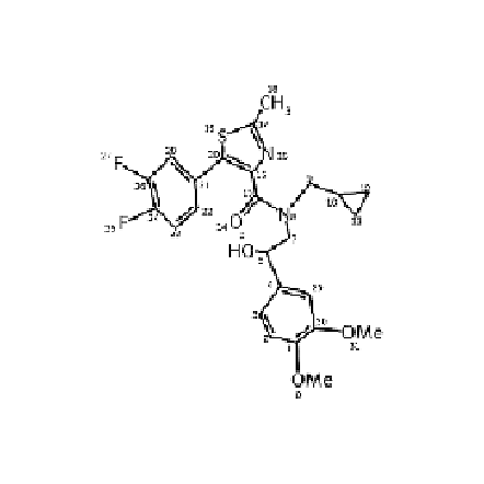 COc1ccc(C(O)CN(CC2CC2)C(=O)c2nc(C)sc2-c2ccc(F)c(F)c2)cc1OC